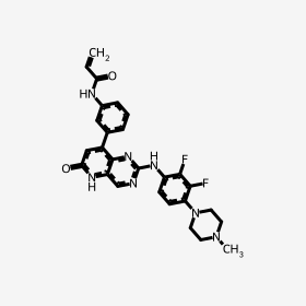 C=CC(=O)Nc1cccc(-c2cc(=O)[nH]c3cnc(Nc4ccc(N5CCN(C)CC5)c(F)c4F)nc23)c1